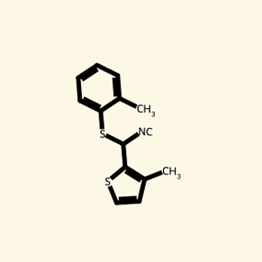 [C-]#[N+]C(Sc1ccccc1C)c1sccc1C